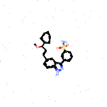 COC(C=Cc1ccc2[nH]nc(-c3cccc(S(N)(=O)=O)c3)c2c1)c1ccccc1